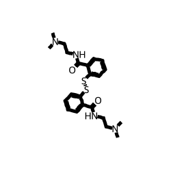 CN(C)CCNC(=O)c1ccccc1SSc1ccccc1C(=O)NCCN(C)C